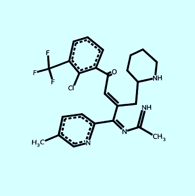 CC(=N)/N=C(\C(=C\C(=O)c1cccc(C(F)(F)F)c1Cl)CC1CCCCN1)c1ccc(C)cn1